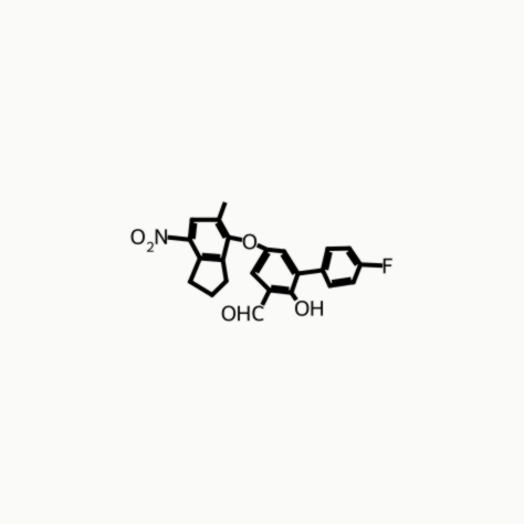 Cc1cc([N+](=O)[O-])c2c(c1Oc1cc(C=O)c(O)c(-c3ccc(F)cc3)c1)CCC2